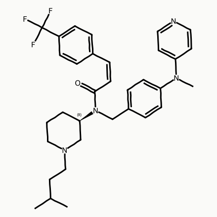 CC(C)CCN1CCC[C@@H](N(Cc2ccc(N(C)c3ccncc3)cc2)C(=O)C=Cc2ccc(C(F)(F)F)cc2)C1